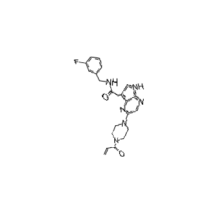 C=CC(=O)N1CCN(c2cnc3[nH]cc(C(=O)NCc4cccc(F)c4)c3n2)CC1